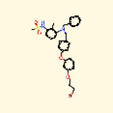 Cc1c(NS(C)(=O)=O)cccc1N(Cc1ccccc1)Cc1ccc(Oc2cccc(OCCCBr)c2)cc1